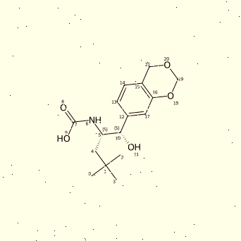 CC(C)(C)C[C@H](NC(=O)O)[C@@H](O)c1ccc2c(c1)OCOC2